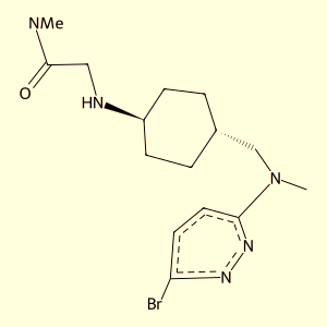 CNC(=O)CN[C@H]1CC[C@H](CN(C)c2ccc(Br)nn2)CC1